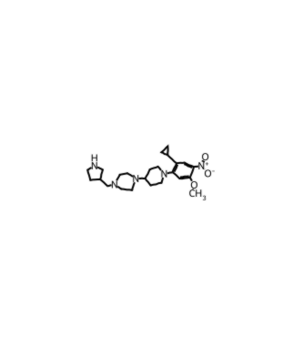 COc1cc(N2CCC(N3CCN(CC4CCNC4)CC3)CC2)c(C2CC2)cc1[N+](=O)[O-]